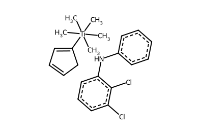 Clc1cccc(Nc2ccccc2)c1Cl.[CH3][Ti]([CH3])([CH3])([CH3])([CH3])[C]1=CC=CC1